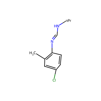 CCCNC=Nc1ccc(Cl)cc1C